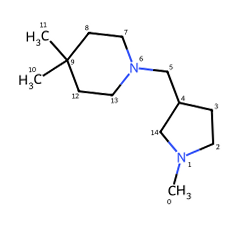 CN1CCC(CN2CCC(C)(C)CC2)C1